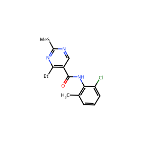 CCc1nc(SC)ncc1C(=O)Nc1c(C)cccc1Cl